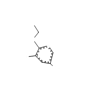 CCOc1ncc(C)cc1F